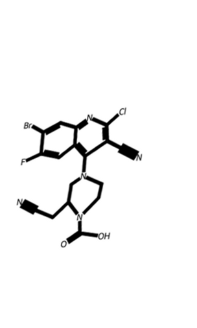 N#CCC1CN(c2c(C#N)c(Cl)nc3cc(Br)c(F)cc23)CCN1C(=O)O